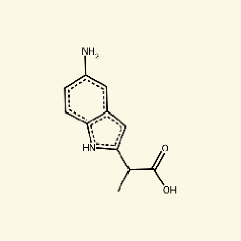 CC(C(=O)O)c1cc2cc(N)ccc2[nH]1